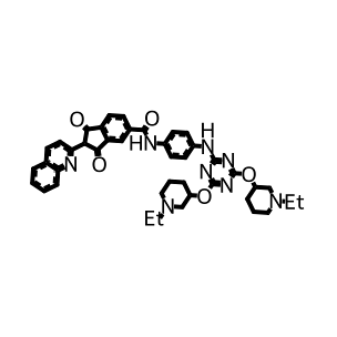 CCN1CCCC(Oc2nc(Nc3ccc(NC(=O)c4ccc5c(c4)C(=O)C(c4ccc6ccccc6n4)C5=O)cc3)nc(OC3CCCN(CC)C3)n2)C1